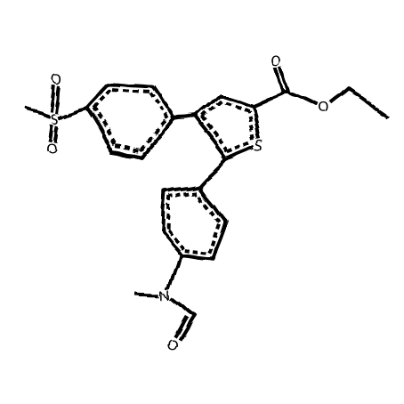 CCOC(=O)c1cc(-c2ccc(S(C)(=O)=O)cc2)c(-c2ccc(N(C)C=O)cc2)s1